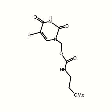 COCCNC(=O)OCn1cc(F)c(=O)[nH]c1=O